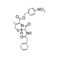 CC1=C(C(=O)OCc2ccc([N+](=O)[O-])cc2)N2C(=O)C(NC(=O)CC3=CCC=CC3)[C@@H]2SC1